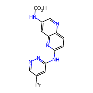 CC(C)c1cnnc(Nc2ccc3ncc(NC(=O)O)cc3n2)c1